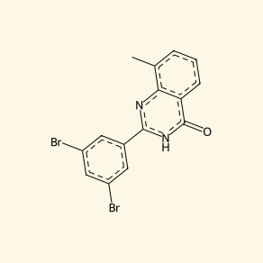 Cc1cccc2c(=O)[nH]c(-c3cc(Br)cc(Br)c3)nc12